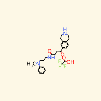 CN(CCCNC(=O)CCC(=O)c1ccc2c(c1)CCNCC2)c1ccccc1.O=C(O)C(F)(F)F